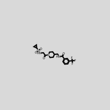 O=C(NCC1CCN(C(=O)CNS(=O)(=O)C2CC2)CC1)c1cccc(C(F)(F)F)c1